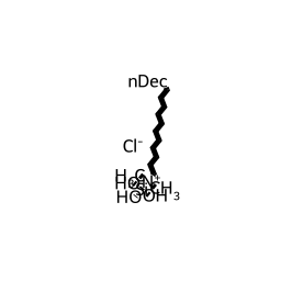 CCCCCCCCCCCCCCCCCCCCC[N+](C)(C)[Si](O)(O)O.[Cl-]